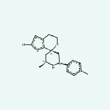 Cc1ccc([C@@H]2C[C@]3(C[C@H](C)N2)OCCc2cc(Cl)sc23)cn1